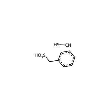 N#CS.O=S(=O)(O)Cc1ccccc1